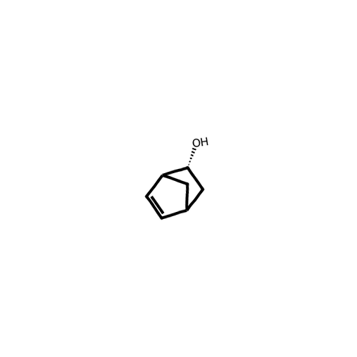 O[C@@H]1CC2C=CC1C2